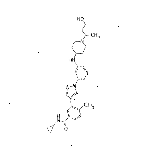 Cc1ccc(C(=O)NC2CC2)cc1-c1cnn(-c2cncc(NC3CCN(C(C)CCO)CC3)c2)c1